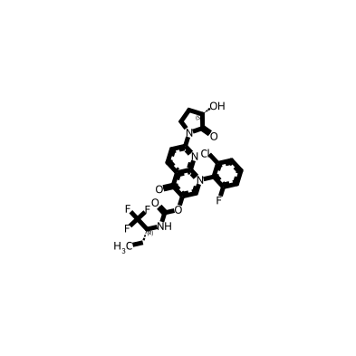 CC[C@@H](NC(=O)Oc1cn(-c2c(F)cccc2Cl)c2nc(N3CC[C@H](O)C3=O)ccc2c1=O)C(F)(F)F